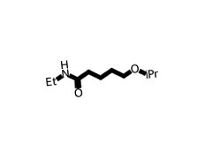 CCNC(=O)CCCCOC(C)C